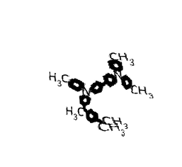 Cc1ccc(N(c2ccc(C)cc2)c2ccc(-c3ccc(N(c4ccc(C)cc4)c4ccc(C(C)c5ccc(C(C)C)cc5)cc4)cc3)cc2)cc1